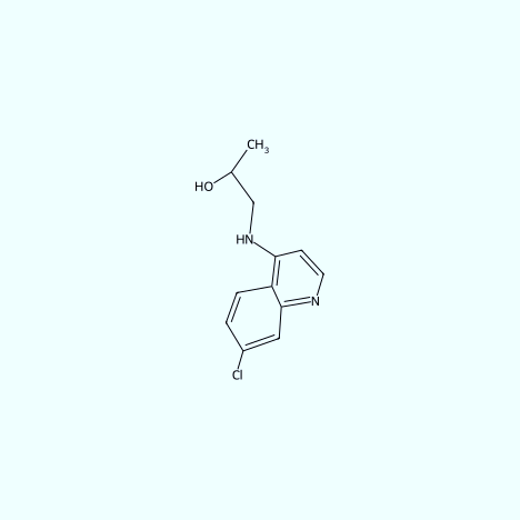 CC(O)CNc1ccnc2cc(Cl)ccc12